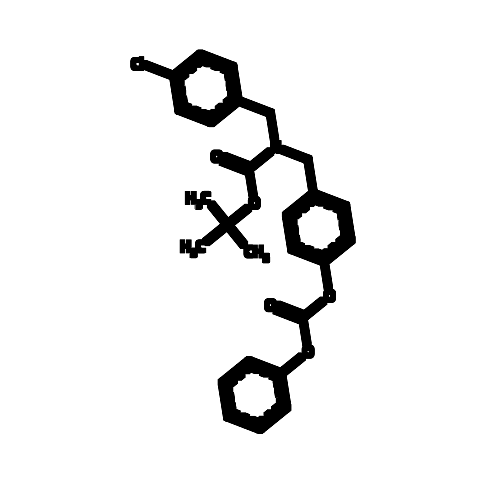 CC(C)(C)OC(=O)N(Cc1ccc(Cl)cc1)Cc1ccc(OC(=O)Oc2ccccc2)cc1